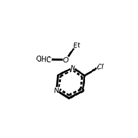 CCOC=O.Clc1ccncn1